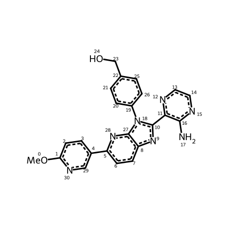 COc1ccc(-c2ccc3nc(-c4nccnc4N)n(-c4ccc(CO)cc4)c3n2)cn1